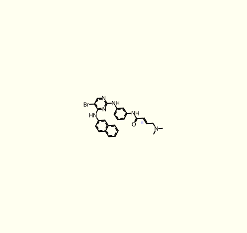 CN(C)C/C=C/C(=O)Nc1cccc(Nc2ncc(Br)c(Nc3ccc4ccccc4c3)n2)c1